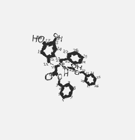 O=C(OCc1ccccc1)[C@H](Cc1ccc(O)c(O)c1)N(Cc1ccccc1)NC(O)OCc1ccccc1